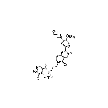 COc1cnc(-c2cc3ccn(CCC[C@H](C)Nc4cn[nH]c(=O)c4C(F)(F)F)c(=O)c3cc2F)nc1N1CC2(COC2)C1